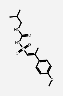 COc1ccc(C(C)=CS(=O)(=O)NC(=O)NCC(C)C)cc1